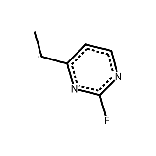 C[CH]c1ccnc(F)n1